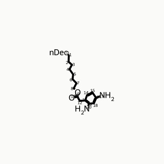 CCCCCCCCCCCCCCCCCCOC(=O)Cc1ccc(N)cc1N